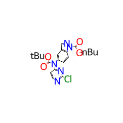 CCCCOC(=O)n1ncc2cc(N(C(=O)OC(C)(C)C)c3ccnc(Cl)n3)ccc21